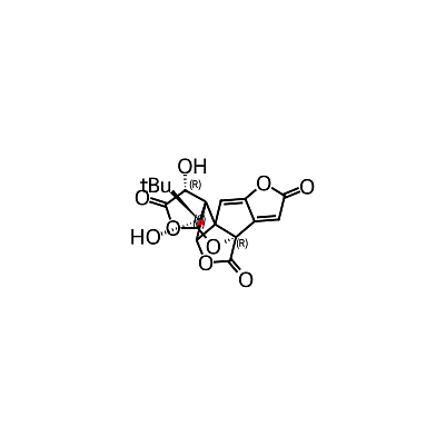 CC(C)(C)[C@@H]1[C@@H](O)C2OC(=O)[C@@]34OC5OC(=O)[C@H](O)C51C23C=C1OC(=O)C=C14